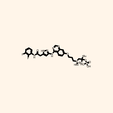 CCCCN(CCCOc1ccc2c(Nc3cc(CC(=O)Nc4cccc(F)c4F)[nH]n3)ncnc2c1)CC(OP(=O)(O)O)(C(C)(C)C)C(C)(C)C